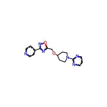 c1cnc(N2CCC(OCc3nc(-c4ccncc4)no3)CC2)nc1